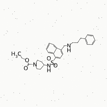 CCOC(=O)N1CCC(NS(=O)(=O)c2ccc(CNCCCc3ccccc3)c3ccccc23)CC1